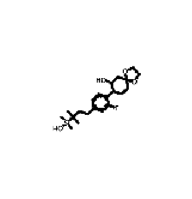 CC(C)(CCc1ccc(C2CCC3(CC2O)OCCO3)c(F)c1)[Si](C)(C)O